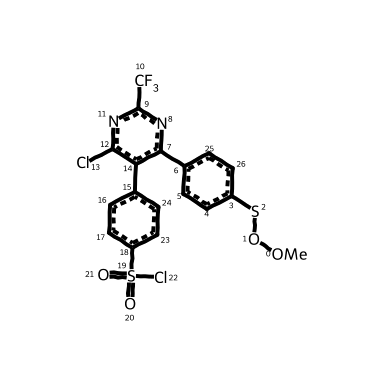 COOSc1ccc(-c2nc(C(F)(F)F)nc(Cl)c2-c2ccc(S(=O)(=O)Cl)cc2)cc1